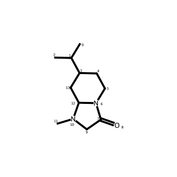 CC(C)C1CCN2C(=O)CN(C)C2C1